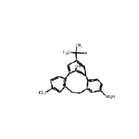 CCC(C)(C)c1cc2c(OC)c(c1)-c1ccc(S(=O)(=O)O)cc1CCc1cc(S(=O)(=O)O)ccc1-2